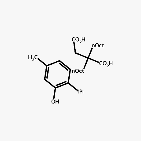 CCCCCCCCC(CCCCCCCC)(CC(=O)O)C(=O)O.Cc1ccc(C(C)C)c(O)c1